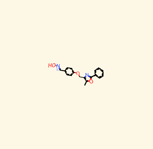 Cc1oc(-c2ccccc2)nc1COc1ccc(/C=N/O)cc1